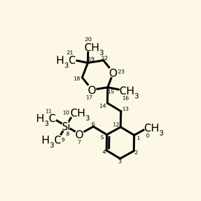 CC1CCC=C(CO[Si](C)(C)C)C1CCC1(C)OCC(C)(C)CO1